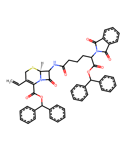 C=CC1=C(C(=O)OC(c2ccccc2)c2ccccc2)N2C(=O)C(NC(=O)CCCC(C(=O)OC(c3ccccc3)c3ccccc3)N3C(=O)c4ccccc4C3=O)[C@@H]2SC1